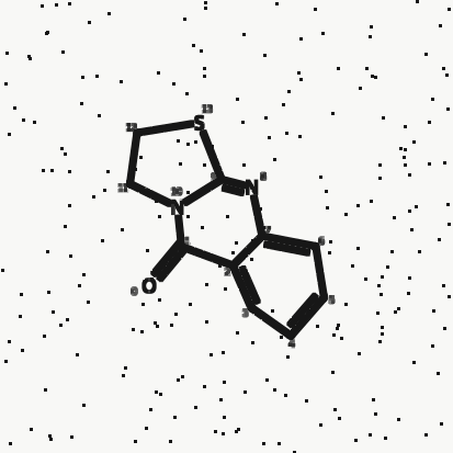 O=c1c2ccccc2nc2n1CCS2